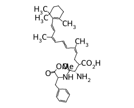 COC(=O)C(Cc1ccccc1)NC(=O)[C@@H](N)C(CC=C(C)C=CC=C(C)C=CC1=C(C)CCCC1(C)C)C(=O)O